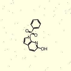 O=S(=O)(c1ccccc1)n1ccc2ccc(O)nc21